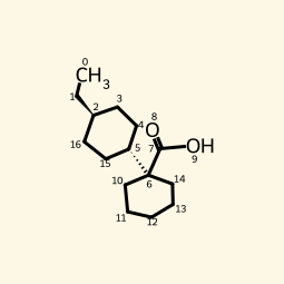 CC[C@H]1CC[C@H](C2(C(=O)O)CCCCC2)CC1